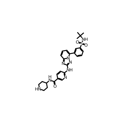 CC(C)(C)NS(=O)(=O)c1cccc(-c2cccc3nc(Nc4ccc(C(=O)NC5CCNCC5)cn4)nn23)c1